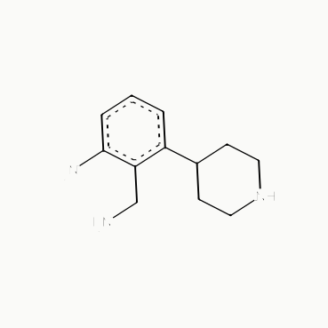 NCc1c(N)cccc1C1CCNCC1